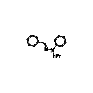 CCCN(/N=C/c1ccccc1)c1ccccc1